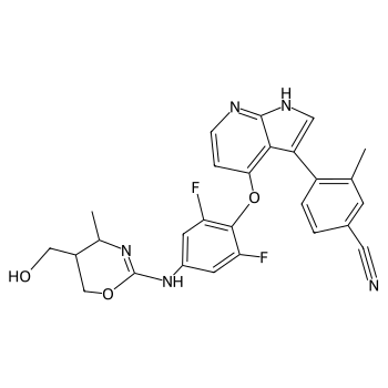 Cc1cc(C#N)ccc1-c1c[nH]c2nccc(Oc3c(F)cc(NC4=NC(C)C(CO)CO4)cc3F)c12